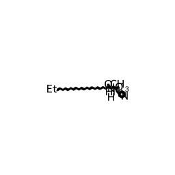 CCC=CCC=CCC=CCC=CCC=CCC=CCCC(=O)N[C@@H](C)C(=O)Nc1ccncc1